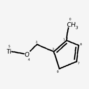 CC1=C(C[O][Ti])CC=C1